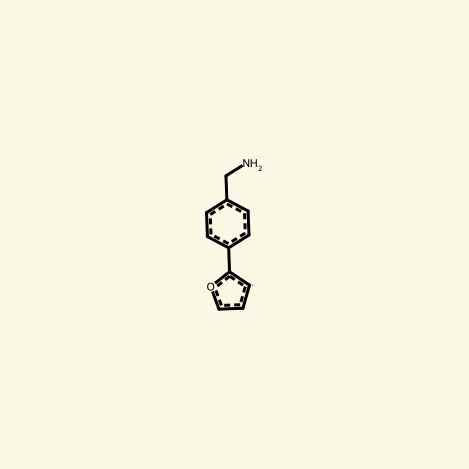 NCc1ccc(-c2[c]cco2)cc1